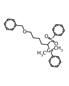 [CH3][Ge]([CH3])([c]1ccccc1)[CH](CCCCOCc1ccccc1)S(=O)(=O)c1ccccc1